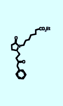 CCOC(=O)CCCCCCN1C(=O)CC[C@@H]1CCC(=O)Cc1ccccc1